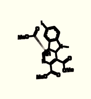 COC(=O)C1=C(C(=O)OC)C2N(C)c3ccc(I)cc3[C@@]23C[C@@H](C(=O)OC)NC3=N1